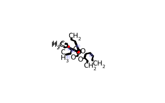 C=C/C=C\C1=C(C=C)OC2OC(=C/C)/C(=C\C=C)OP23(O1)OC(=C/C=C)/C(=C\C=C)O3